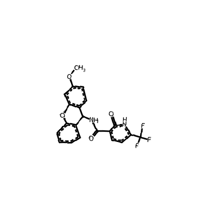 COc1ccc2c(c1)Oc1ccccc1C2NC(=O)c1ccc(C(F)(F)F)[nH]c1=O